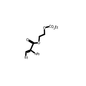 CC/C=C(\CCC)C(=O)OCCOC(=O)OCC